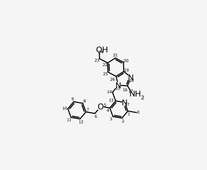 Cc1ccc(OCc2ccccc2)c(Cn2c(N)nc3ccc(CO)cc32)n1